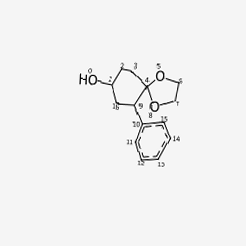 OC1CCC2(OCCO2)C(c2ccccc2)C1